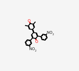 CC1=CC(=C2C=C(c3cccc([N+](=O)[O-])c3)C(=O)C(c3cccc([N+](=O)[O-])c3)=C2)C=C(C)C1=O